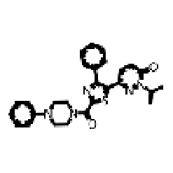 CC(C)n1nc(-c2sc(C(=O)N3CCN(c4ccccc4)CC3)nc2-c2ccccc2)ccc1=O